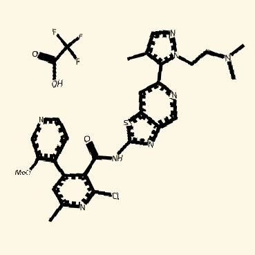 COc1cnccc1-c1cc(C)nc(Cl)c1C(=O)Nc1nc2cnc(-c3c(C)cnn3CCN(C)C)cc2s1.O=C(O)C(F)(F)F